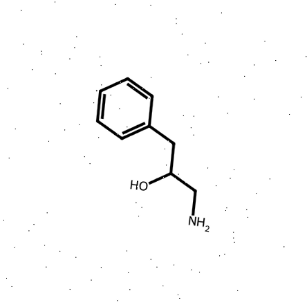 NCC(O)Cc1cc[c]cc1